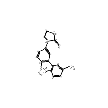 Cc1ccc(C)c(-c2cc(N3CCNC3=O)ccc2S(=O)(=O)O)c1